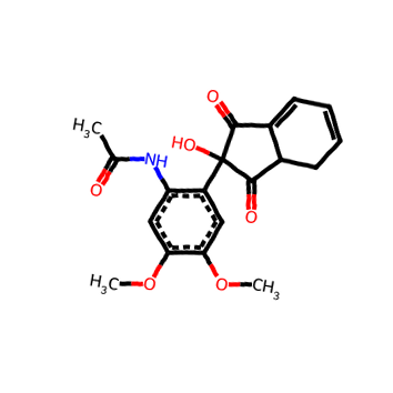 COc1cc(NC(C)=O)c(C2(O)C(=O)C3=CC=CCC3C2=O)cc1OC